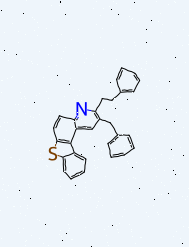 c1ccc(CCc2nc3ccc4sc5ccccc5c4c3cc2Cc2ccccc2)cc1